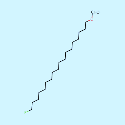 O=[C]OCCCCCCCCCCCCCCCCCCF